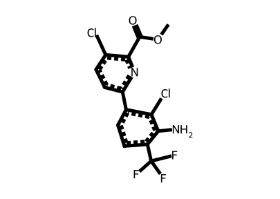 COC(=O)c1nc(-c2ccc(C(F)(F)F)c(N)c2Cl)ccc1Cl